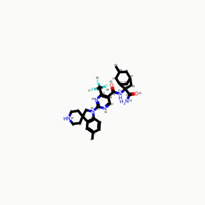 Cc1ccc2c(c1)C1(CCNCC1)CN2c1ncc(C(=O)NC2(C(N)=O)CC3CC(C)CC2C3)c(C(F)(F)F)n1